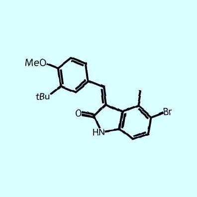 COc1ccc(C=C2C(=O)Nc3ccc(Br)c(C)c32)cc1C(C)(C)C